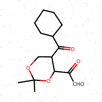 CC1(C)OCC(C(=O)C2CCCCC2)C(C(=O)C=O)O1